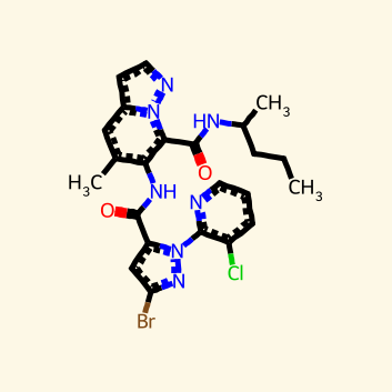 CCCC(C)NC(=O)c1c(NC(=O)c2cc(Br)nn2-c2ncccc2Cl)c(C)cc2ccnn12